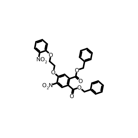 O=C(OCc1ccccc1)c1cc(OCCOc2ccccc2[N+](=O)[O-])c([N+](=O)[O-])cc1C(=O)OCc1ccccc1